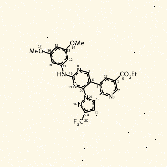 CCOC(=O)c1cncc(-c2cnc(Nc3cc(OC)cc(OC)c3)nc2-n2ccc(C(F)(F)F)n2)c1